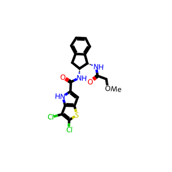 COCC(=O)N[C@H]1c2ccccc2C[C@H]1NC(=O)c1cc2sc(Cl)c(Cl)c2[nH]1